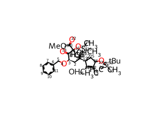 C=C(C[C@@H](OCc1ccccc1)C(=O)C(C)(O[Si](C)(C)C)C(=O)OC)[C@H]1CC(O[Si](C)(C)C(C)(C)C)C(C)=C1C=O